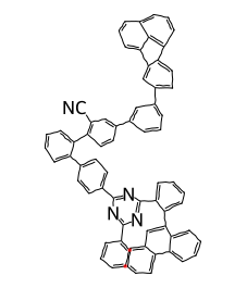 N#Cc1cc(-c2cccc(-c3ccc4c(c3)-c3cccc5cccc-4c35)c2)ccc1-c1ccccc1-c1ccc(-c2nc(-c3ccccc3)nc(-c3ccccc3-c3cc4ccccc4c4ccccc34)n2)cc1